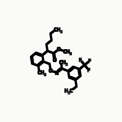 CCCCC(C(=O)OC)c1cccc(C)c1CO/N=C(\C)c1cc(CC)cc(C(F)(F)F)c1